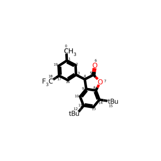 Cc1cc(C2C(=O)Oc3c2cc(C(C)(C)C)cc3C(C)(C)C)cc(C(F)(F)F)c1